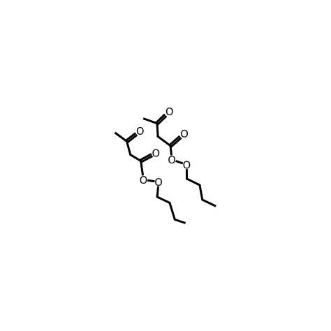 CCCCOOC(=O)CC(C)=O.CCCCOOC(=O)CC(C)=O